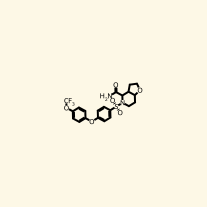 NC(=O)C1C2CCOC2CCN1S(=O)(=O)c1ccc(Oc2ccc(OC(F)(F)F)cc2)cc1